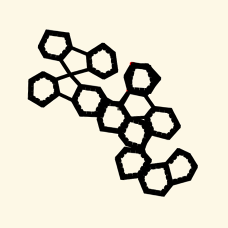 c1ccc(-c2ccccc2-c2c(-c3ccccc3)cccc2-c2ccccc2N(c2ccc(-c3cccc4ccccc34)cc2)c2ccc3c(c2)C2(c4ccccc4-c4ccccc42)c2ccccc2-3)cc1